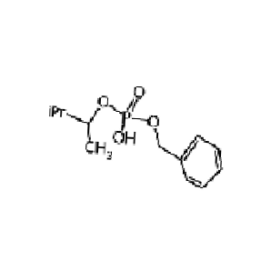 CC(C)C(C)OP(=O)(O)OCc1ccccc1